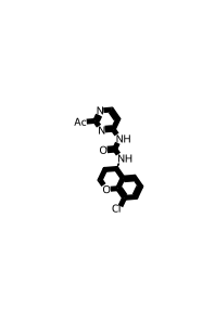 CC(=O)c1nccc(NC(=O)N[C@H]2CCOc3c(Cl)cccc32)n1